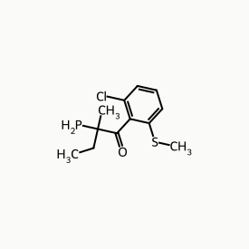 CCC(C)(P)C(=O)c1c(Cl)cccc1SC